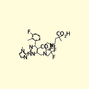 CCOC(=O)C1=C(CN2CC(F)(F)C3C2CCN3CCC(C)(C)C(=O)O)NC(c2nccn2C)=NC1c1cccc(F)c1C